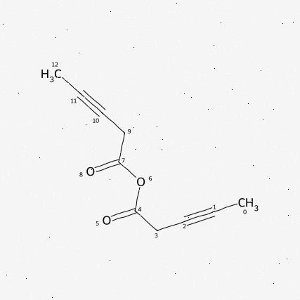 CC#CCC(=O)OC(=O)CC#CC